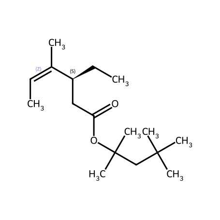 C/C=C(/C)[C@@H](CC)CC(=O)OC(C)(C)CC(C)(C)C